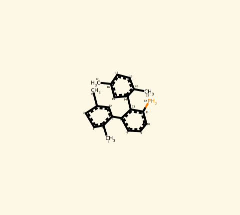 Cc1ccc(C)c(-c2cccc(P)c2-c2cc(C)ccc2C)c1